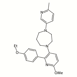 CCOc1ccc(-c2nc(OC)ccc2N2CCCN(c3ccc(C)nc3)CC2)cc1